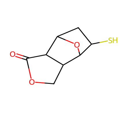 O=C1OCC2C3OC(CC3S)C12